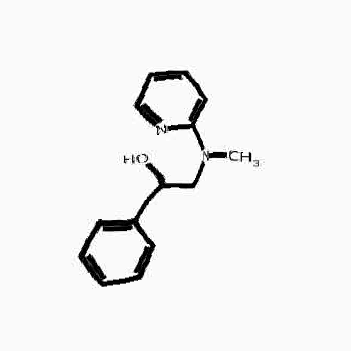 CN(CC(O)c1ccccc1)c1ccccn1